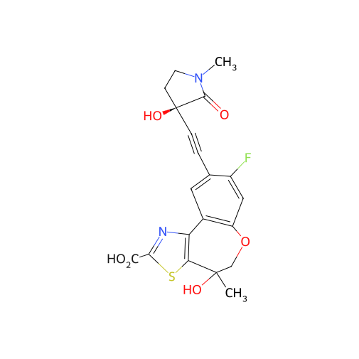 CN1CC[C@@](O)(C#Cc2cc3c(cc2F)OCC(C)(O)c2sc(C(=O)O)nc2-3)C1=O